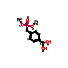 CCOP(=O)(Cc1ccc(B(O)O)cc1)OCC